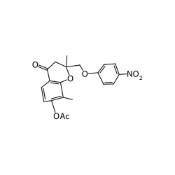 CC(=O)Oc1ccc2c(c1C)OC(C)(COc1ccc([N+](=O)[O-])cc1)CC2=O